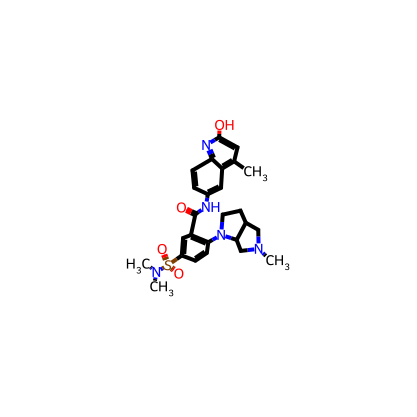 Cc1cc(O)nc2ccc(NC(=O)c3cc(S(=O)(=O)N(C)C)ccc3N3CCC4CN(C)CC43)cc12